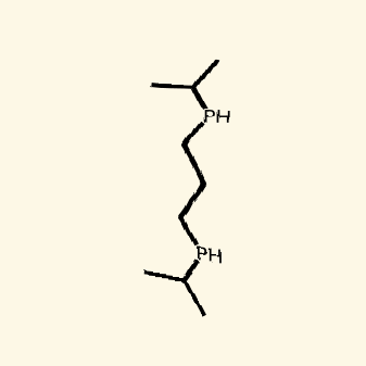 CC(C)PCCCPC(C)C